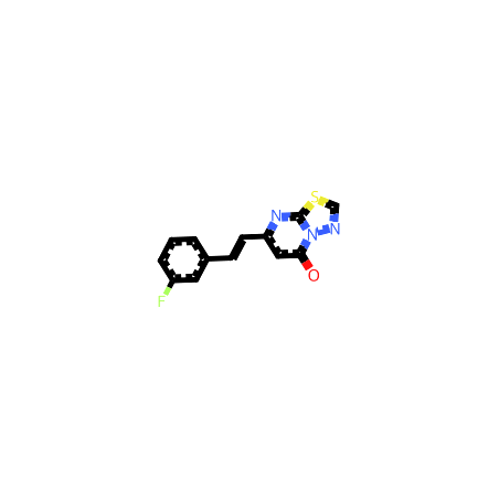 O=c1cc(/C=C/c2cccc(F)c2)nc2scnn12